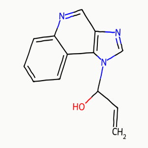 C=CC(O)n1cnc2cnc3ccccc3c21